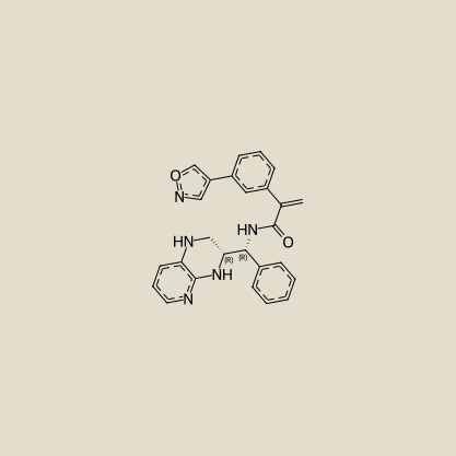 C=C(C(=O)N[C@H](c1ccccc1)[C@H]1CNc2cccnc2N1)c1cccc(-c2cnoc2)c1